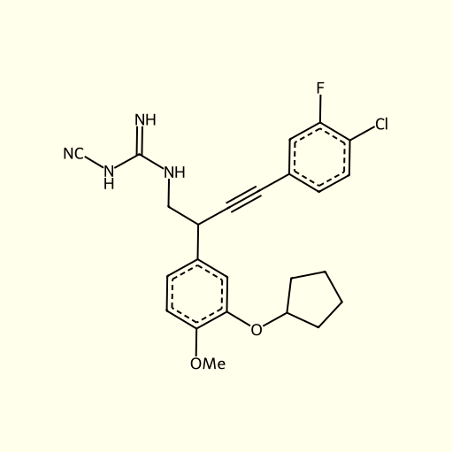 COc1ccc(C(C#Cc2ccc(Cl)c(F)c2)CNC(=N)NC#N)cc1OC1CCCC1